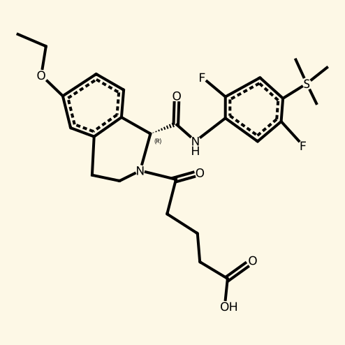 CCOc1ccc2c(c1)CCN(C(=O)CCCC(=O)O)[C@H]2C(=O)Nc1cc(F)c(S(C)(C)C)cc1F